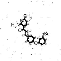 CCCCc1cccc(Oc2ccc(CNC(=O)c3ccc(C)nc3N)cc2)c1